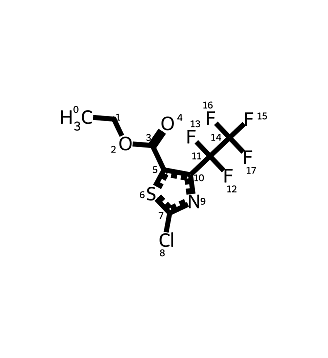 CCOC(=O)c1sc(Cl)nc1C(F)(F)C(F)(F)F